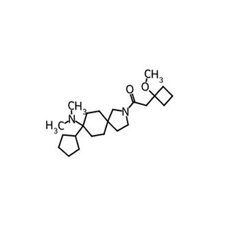 COC1(CC(=O)N2CCC3(CCC(C4CCCC4)(N(C)C)CC3)C2)CCC1